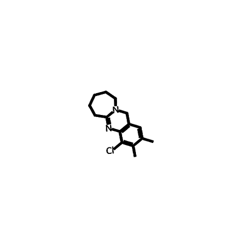 Cc1cc2c(c(Cl)c1C)N=C1CCCCCN1C2